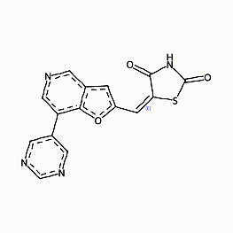 O=C1NC(=O)/C(=C\c2cc3cncc(-c4cncnc4)c3o2)S1